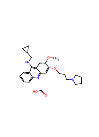 COc1cc2c(NCC3CC3)c3ccccc3nc2cc1OCCCN1CCCC1.O=CO